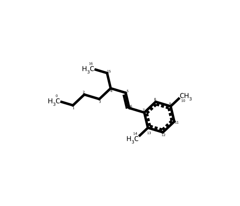 CCCCC(/C=C/c1cc(C)ccc1C)CC